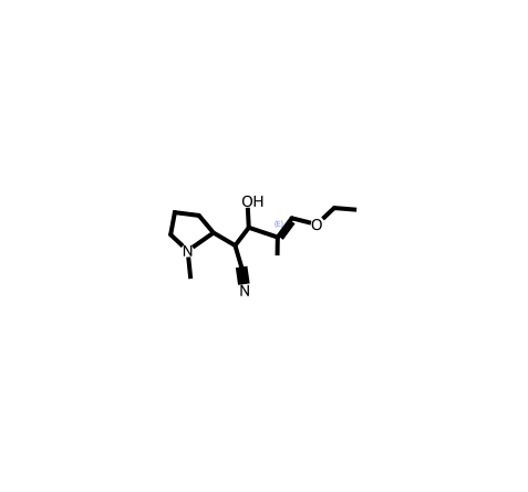 CCO/C=C(\C)C(O)C(C#N)C1CCCN1C